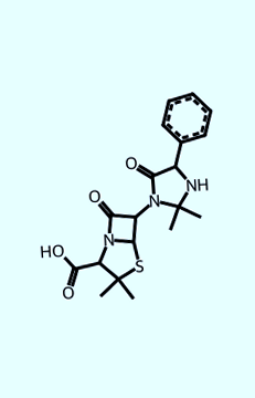 CC1(C)SC2C(N3C(=O)C(c4ccccc4)NC3(C)C)C(=O)N2C1C(=O)O